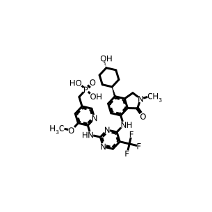 COc1cc(CP(=O)(O)O)cnc1Nc1ncc(C(F)(F)F)c(Nc2ccc([C@H]3CC[C@H](O)CC3)c3c2C(=O)N(C)C3)n1